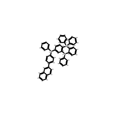 c1ccc(N(c2ccc(-c3ccc4ccccc4c3)cc2)c2ccc3c(c2)N(c2ccccc2)c2ccccc2[Si]3(c2ccccc2)c2ccccc2)cc1